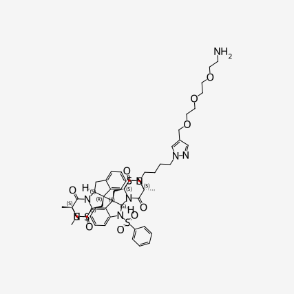 CN1C(=O)[C@@]23C[C@]4([C@]56C[C@@]78SS[C@@](C)(C(=O)N7[C@H]5N(S(=O)(=O)c5ccccc5)c5ccccc56)N(CCCCn5cc(COCCOCCOCCN)cn5)C8=O)c5ccccc5C[C@@H]4N2C(=O)[C@]1(C)SS3